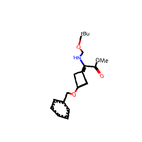 COC(=O)C(NCOC(C)(C)C)=C1CC(OCc2ccccc2)C1